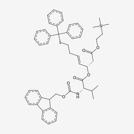 CC(C)[C@H](NC(=O)OCC1c2ccccc2-c2ccccc21)C(=O)O[C@H](/C=C/CCSC(c1ccccc1)(c1ccccc1)c1ccccc1)CC(=O)OCC[Si](C)(C)C